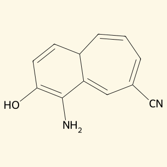 N#CC1=CC=CC2C=CC(O)=C(N)C2=C1